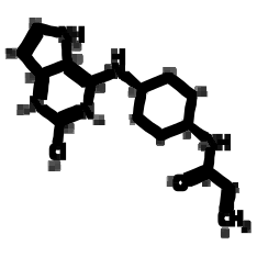 C=CC(=O)N[C@H]1CC[C@@H](Nc2nc(Cl)nc3cc[nH]c23)CC1